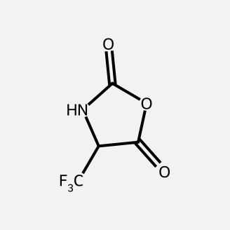 O=C1NC(C(F)(F)F)C(=O)O1